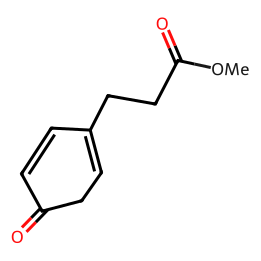 COC(=O)CCC1=CCC(=O)C=C1